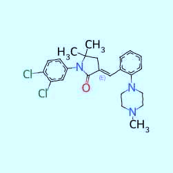 CN1CCN(c2ccccc2/C=C2\CC(C)(C)N(c3ccc(Cl)c(Cl)c3)C2=O)CC1